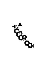 C[C@]12CC=C3C=C4CCC(NC5CC5)C[C@]45CC[C@]3(O5)[C@@H]1CC[C@@H]2c1ccc2ccncc2c1